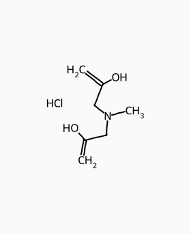 C=C(O)CN(C)CC(=C)O.Cl